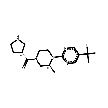 C[C@H]1CN(C(=O)[C@@H]2CCNC2)CCN1c1ncc(C(F)(F)F)cn1